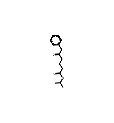 CC(C)OC(=O)CCCC(=O)Cc1ccccc1